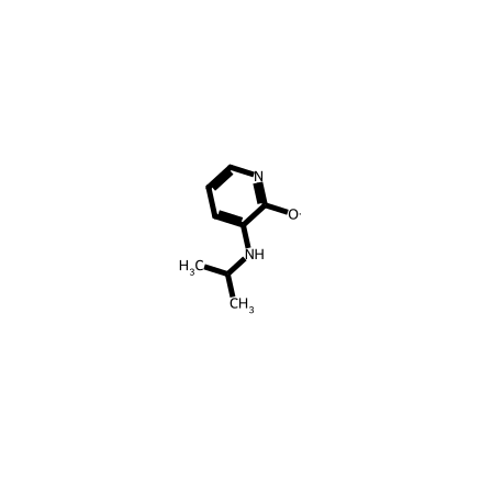 CC(C)Nc1cccnc1[O]